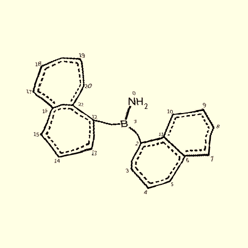 NB(c1cccc2ccccc12)c1cccc2ccccc12